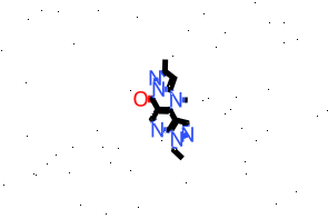 CCn1ncc2c1ncc1c(=O)n3nc(C)cc3n(C)c12